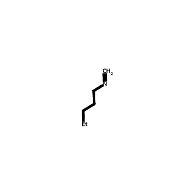 C=N[CH]CCCC